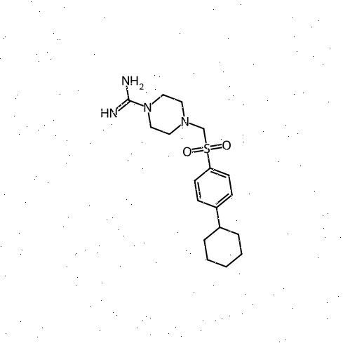 N=C(N)N1CCN(CS(=O)(=O)c2ccc(C3CCCCC3)cc2)CC1